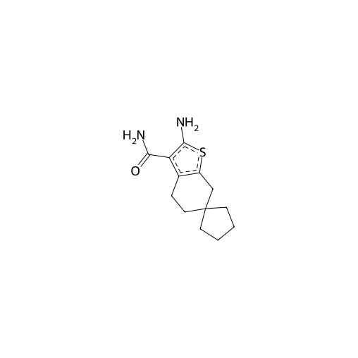 NC(=O)c1c(N)sc2c1CCC1(CCCC1)C2